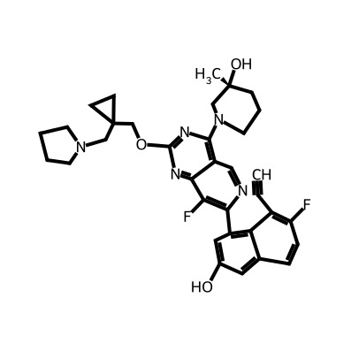 C#Cc1c(F)ccc2cc(O)cc(-c3ncc4c(N5CCC[C@@](C)(O)C5)nc(OCC5(CN6CCCC6)CC5)nc4c3F)c12